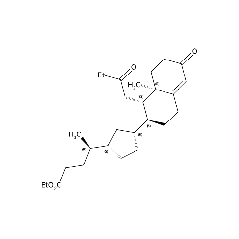 CCOC(=O)CC[C@@H](C)[C@H]1CC[C@@H]([C@@H]2CCC3=CC(=O)CC[C@]3(C)[C@H]2CC(=O)CC)C1